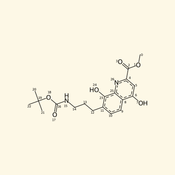 COC(=O)c1cc(O)c2ccc(CCCNC(=O)OC(C)(C)C)c(O)c2n1